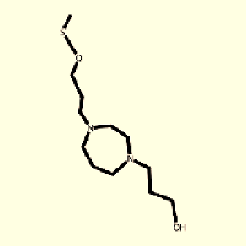 CSOCCCN1CCCN(CCCO)CC1